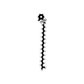 Cc1ccccc1S(=O)(=O)OCCCCCCCCCCCCCCCCCCCCCC(C)C